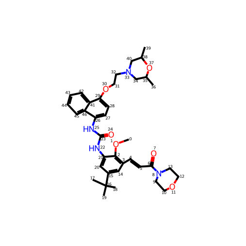 COc1c(/C=C/C(=O)N2CCOCC2)cc(C(C)(C)C)cc1NC(=O)Nc1ccc(OCCN2CC(C)OC(C)C2)c2ccccc12